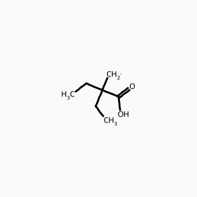 [CH2]C(CC)(CC)C(=O)O